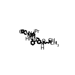 CC(C)c1cnn2c(NCc3ccccc3-c3nccc4cc(NC(=O)/C=C/CN(C)C)ccc34)nc(N3CCC4(CCOC4)CC3)nc12